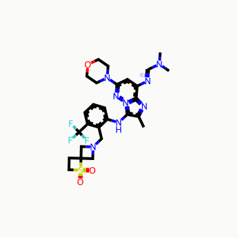 Cc1nc2c(/N=C/N(C)C)cc(N3CCOCC3)nn2c1Nc1cccc(C(F)(F)F)c1CN1CC2(CCS2(=O)=O)C1